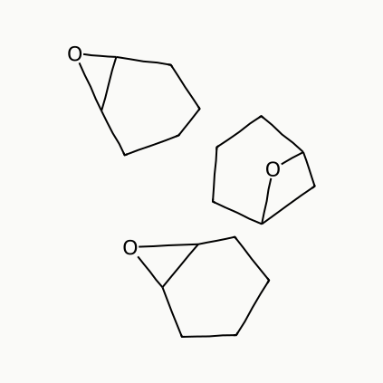 C1CC2CC(C1)O2.C1CCC2OC2C1.C1CCC2OC2C1